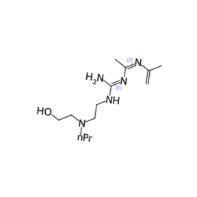 C=C(C)/N=C(C)\N=C(/N)NCCN(CCC)CCO